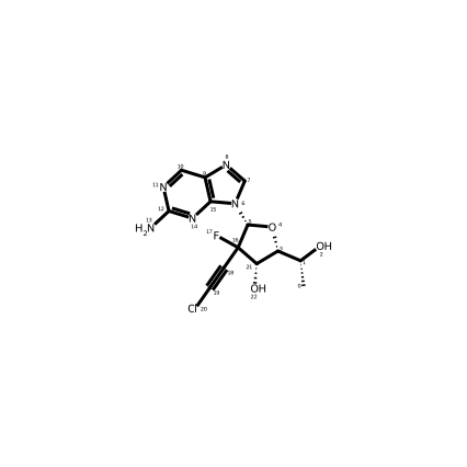 C[C@@H](O)[C@H]1O[C@@H](n2cnc3cnc(N)nc32)C(F)(C#CCl)[C@H]1O